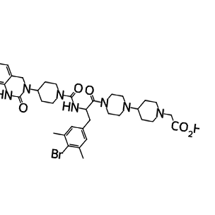 Cc1cc(CC(NC(=O)N2CCC(N3Cc4ccccc4NC3=O)CC2)C(=O)N2CCN(C3CCN(CC(=O)O)CC3)CC2)cc(C)c1Br